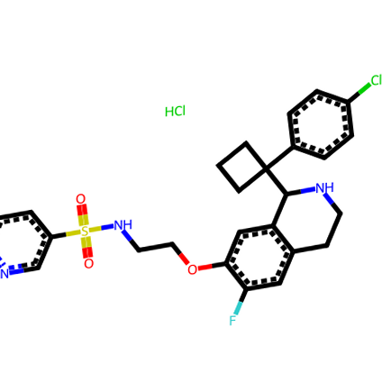 Cl.O=S(=O)(NCCOc1cc2c(cc1F)CCNC2C1(c2ccc(Cl)cc2)CCC1)c1cccnc1